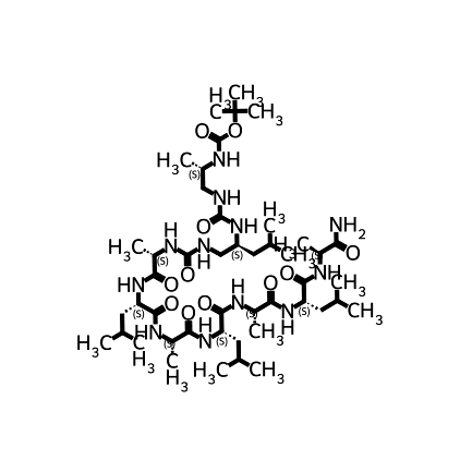 CC(C)C[C@@H](CNC(=O)N[C@@H](C)C(=O)N[C@@H](CC(C)C)C(=O)N[C@@H](C)C(=O)N[C@@H](CC(C)C)C(=O)N[C@@H](C)C(=O)N[C@@H](CC(C)C)C(=O)N[C@@H](C)C(N)=O)NC(=O)NC[C@H](C)NC(=O)OC(C)(C)C